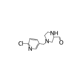 O=CC1CN(Cc2ccc(Cl)nc2)CCN1